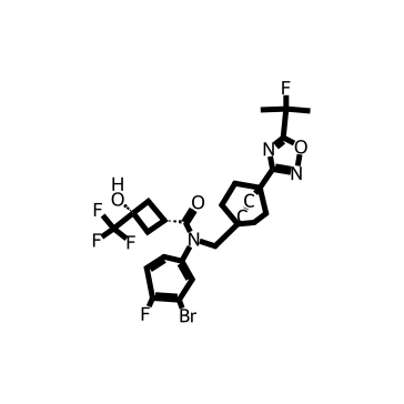 CC(C)(F)c1nc(C23CCC(CN(c4ccc(F)c(Br)c4)C(=O)[C@H]4C[C@](O)(C(F)(F)F)C4)(CC2)CC3)no1